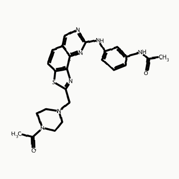 CC(=O)Nc1cccc(Nc2ncc3ccc4sc(CN5CCN(C(C)=O)CC5)nc4c3n2)c1